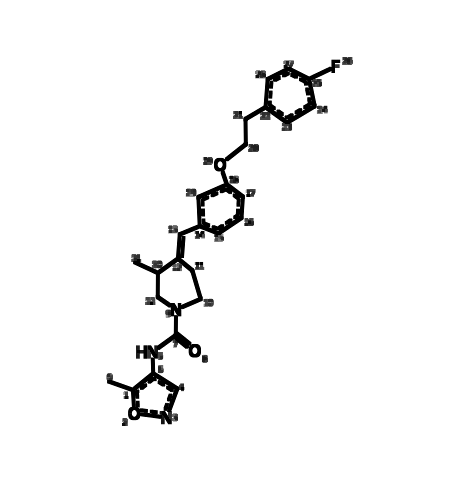 Cc1oncc1NC(=O)N1CC/C(=C\c2cccc(OCCc3ccc(F)cc3)c2)C(C)C1